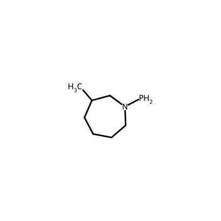 CC1CCCCN(P)C1